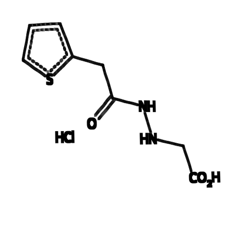 Cl.O=C(O)CNNC(=O)Cc1cccs1